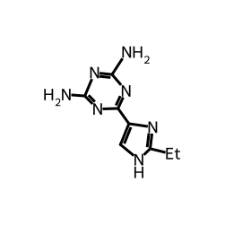 CCc1nc(-c2nc(N)nc(N)n2)c[nH]1